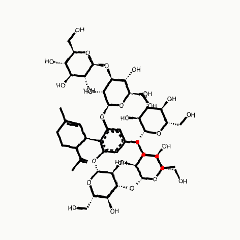 C=C(C)C1CCC(C)=C[C@H]1c1c(O[C@H]2O[C@@H](CO)[C@H](O)[C@@H](O[C@H]3O[C@@H](CO)[C@H](O)[C@@H](O[C@H]4O[C@@H](CO)[C@H](O)[C@@H](O)[C@@H]4O)[C@@H]3O)[C@@H]2O)cc(CCCCC)cc1O[C@@H]1O[C@H](CO)[C@@H](O)[C@H](O[C@@H]2O[C@H](CO)[C@@H](O)[C@H](O)[C@H]2O)[C@H]1O